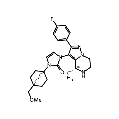 COCC12CCC(n3ccn(-c4c(-c5ccc(F)cc5)nn5c4[C@@H](C)NCC5)c3=O)(CC1)CC2